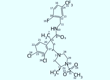 C[C@H]1CN(CCC(C)(C(=O)NCc2cc(C(F)(F)F)ccc2F)c2ccc(Cl)c(Cl)c2)CCN1S(C)(=O)=O